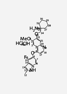 COc1cc2c(Oc3ccc4[nH]c(C)cc4c3F)ccnc2cc1OCC1(N)CCCCC1.Cl.Cl